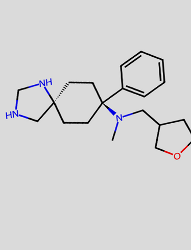 CN(CC1CCOC1)[C@]1(c2ccccc2)CC[C@]2(CC1)CNCN2